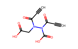 C#CC(=O)N(CC(=O)O)N(C(=O)O)C(=O)C#C